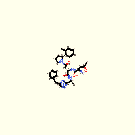 Cc1cc(C(O)N[C@@H](CC(=O)N2CCC[C@@H]2C2C=CC=CC2C)C(=O)N[C@@H](C)c2ncc(Cc3ccccc3)[nH]2)no1